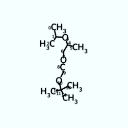 CC(C)OC(C)COCCOC(C)(C)C